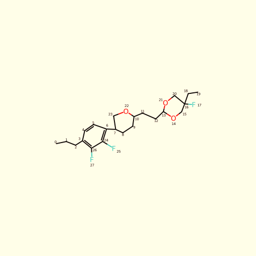 CCCc1ccc(C2CCC(CCC3OCC(F)(CC)CO3)OC2)c(F)c1F